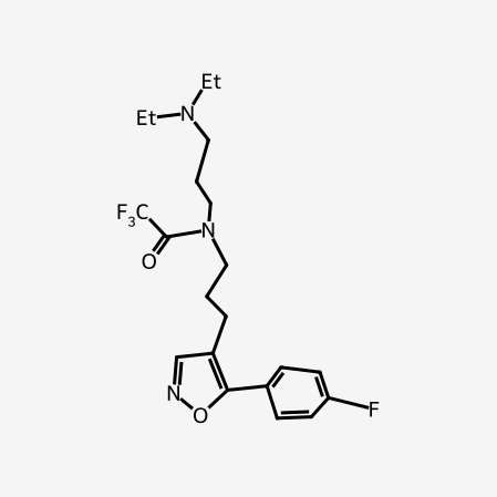 CCN(CC)CCCN(CCCc1cnoc1-c1ccc(F)cc1)C(=O)C(F)(F)F